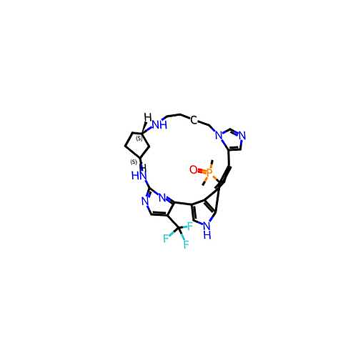 CP(C)(=O)c1c2ccc3c(c[nH]c13)-c1nc(ncc1C(F)(F)F)N[C@H]1CC[C@@H](C1)NCCCCn1cncc1-2